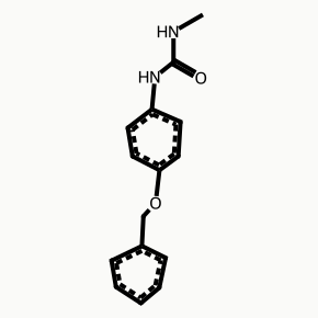 CNC(=O)Nc1ccc(OCc2ccccc2)cc1